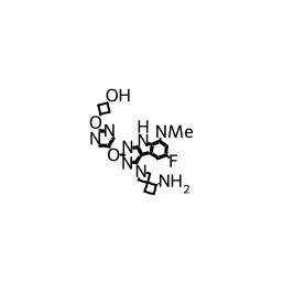 CNc1cc(F)cc2c1[nH]c1nc(Oc3cnc(OC4CC(O)C4)nc3)nc(N3CC4(CC[C@H]4N)C3)c12